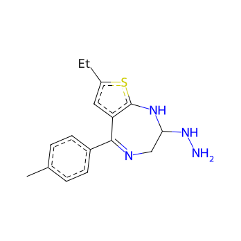 CCc1cc2c(s1)NC(NN)CN=C2c1ccc(C)cc1